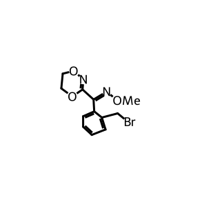 CON=C(C1=NOCCO1)c1ccccc1CBr